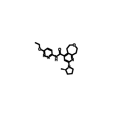 CCOc1ccc(NC(=O)c2cc(N3CCC[C@H]3C)nc3c2CCOCC3)nn1